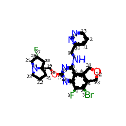 Fc1c(Br)c2c(c3c(NCc4cccnn4)nc(OC[C@@]45CCCN4C[C@H](F)C5)nc13)COC2